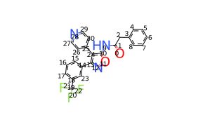 O=C(Cc1ccccc1)Nc1onc(-c2cccc(C(F)(F)F)c2)c1-c1ccncc1